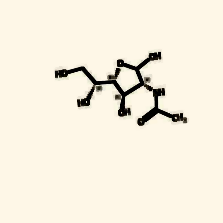 CC(=O)N[C@H]1C(O)O[C@@H]([C@H](O)CO)[C@@H]1O